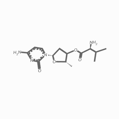 CC(C)[C@H](N)C(=O)OC1C[C@@H](n2ccc(N)nc2=O)O[C@H]1C